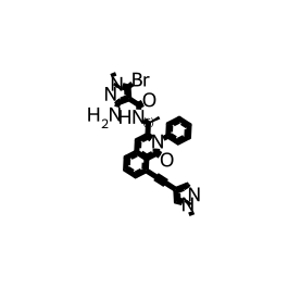 C[C@H](NC(=O)c1c(N)nn(C)c1Br)c1cc2cccc(C#Cc3cnn(C)c3)c2c(=O)n1-c1ccccc1